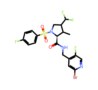 CC1C(C(F)F)CN(S(=O)(=O)c2ccc(F)cc2)[C@@H]1C(=O)NCc1cc(Br)ncc1F